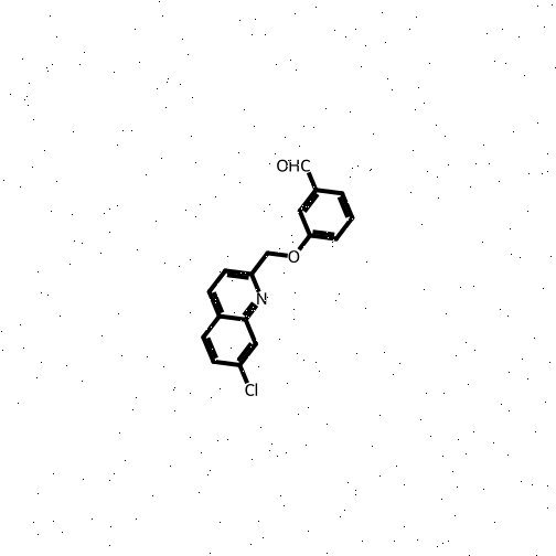 O=Cc1cccc(OCc2ccc3ccc(Cl)cc3n2)c1